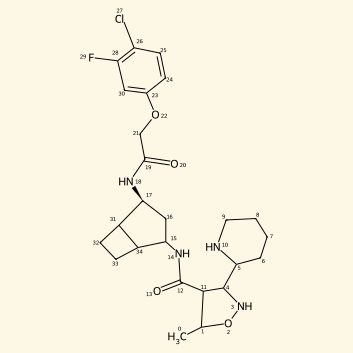 CC1ONC(C2CCCCN2)C1C(=O)NC1C[C@H](NC(=O)COc2ccc(Cl)c(F)c2)C2CCC12